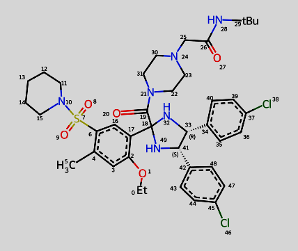 CCOc1cc(C)c(S(=O)(=O)N2CCCCC2)cc1C1(C(=O)N2CCN(CC(=O)NC(C)(C)C)CC2)N[C@H](c2ccc(Cl)cc2)[C@H](c2ccc(Cl)cc2)N1